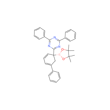 CC1(C)OB(C2(c3nc(-c4ccccc4)nc(-c4ccccc4)n3)C=CC=C(c3ccccc3)C2)OC1(C)C